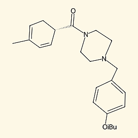 CC1=CC[C@H](C(=O)N2CCN(Cc3ccc(OCC(C)C)cc3)CC2)C=C1